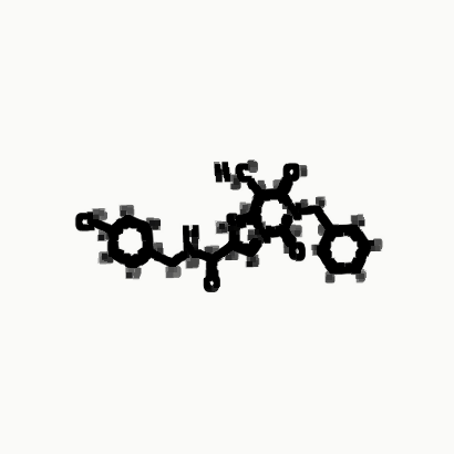 Cc1c(=O)n(Cc2ccccc2)c(=O)n2cc(C(=O)NCc3ccc(Cl)cc3)sc12